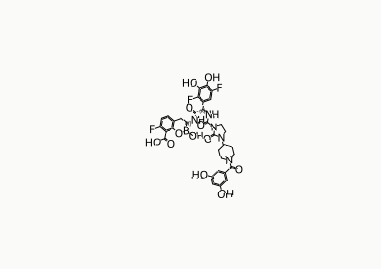 O=C(O)c1c(F)ccc2c1OB(O)[C@@H](NC(=O)[C@H](NC(=O)N1CCN(C3CCN(C(=O)c4cc(O)cc(O)c4)CC3)C1=O)c1cc(F)c(O)c(O)c1F)C2